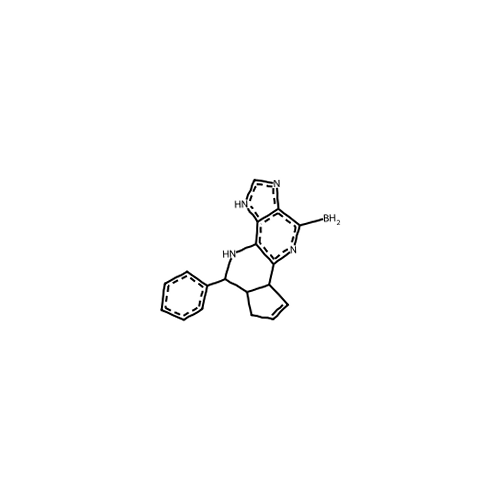 Bc1nc2c(c3[nH]cnc13)NC(c1ccccc1)C1CC=CC21